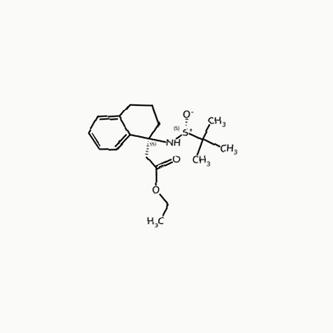 CCOC(=O)C[C@@]1(N[S@+]([O-])C(C)(C)C)CCCc2ccccc21